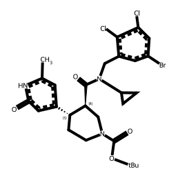 Cc1cc([C@H]2CCN(C(=O)OC(C)(C)C)C[C@@H]2C(=O)N(Cc2cc(Br)cc(Cl)c2Cl)C2CC2)cc(=O)[nH]1